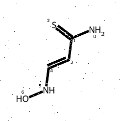 NC(=S)/C=C/NO